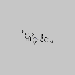 C/C(=N\NC(=O)c1cc(Br)ccc1O)c1cc2cc(Cl)ccc2[nH]1